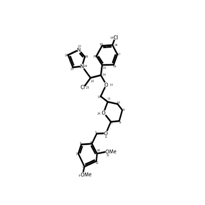 COc1ccc(COC2CCCC(COC(c3ccc(Cl)cc3)C(Cl)n3ccnc3)O2)c(OC)c1